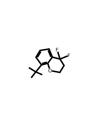 CC(C)(C)c1cccc2c1OCCC2(F)F